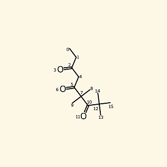 CCC(=O)CC(=O)C(C)(C)C(=O)C(C)(C)C